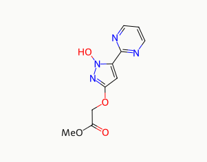 COC(=O)COc1cc(-c2ncccn2)n(O)n1